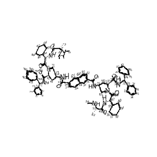 CN[C@@H](C)C(=O)N[C@H](C(=O)N1C[C@@H](NC(=O)c2ccc3cc(C(=O)N[C@H]4C[C@@H](C(=O)NC(c5ccccc5)c5ccccc5)N(C(=O)[C@@H](NC(=O)[C@H](C)NC)C5CCCCC5)C4)ccc3c2)C[C@H]1C(=O)NC(c1ccccc1)c1ccccc1)C1CCCCC1